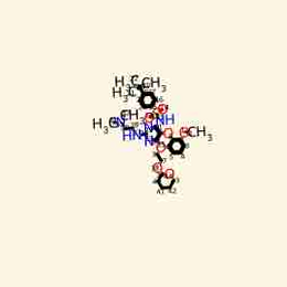 COc1ccccc1Oc1c(NS(=O)(=O)c2ccc(C(C)(C)C)cc2)nc(NCCN(C)C)nc1OCCOC1CCCCO1